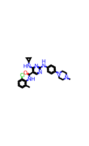 Cc1cccc(Cl)c1NC(=O)c1cnc(Nc2ccc(N3CCN(C)CC3)cc2)nc1NC1CC1